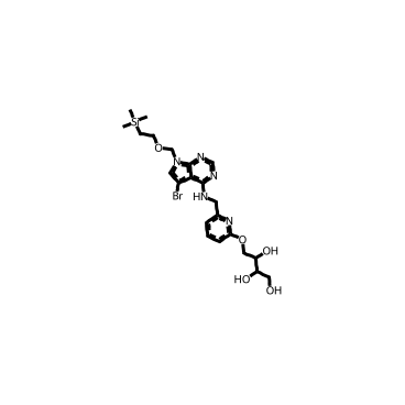 C[Si](C)(C)CCOCn1cc(Br)c2c(NCc3cccc(OCC(O)C(O)CO)n3)ncnc21